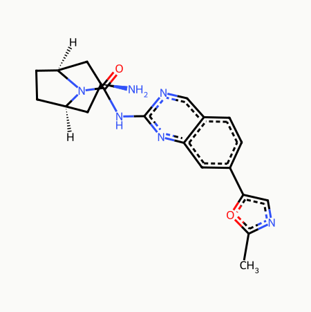 Cc1ncc(-c2ccc3cnc(NC(=O)N4[C@@H]5CC[C@H]4C[C@@H](N)C5)nc3c2)o1